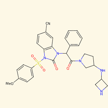 COc1ccc(S(=O)(=O)n2c(=O)n(C(C(=O)N3CCC(NC4CNC4)C3)c3ccccc3)c3cc(C#N)ccc32)cc1